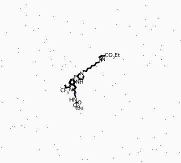 C=C(c1nc(/C=C/CNC(=O)OC(C)(C)C)cc2c(N[C@@H]3CCN(CCCCCCCCn4ccc(C(=O)OCC)n4)C[C@@H]3F)cccc12)C(F)(F)F